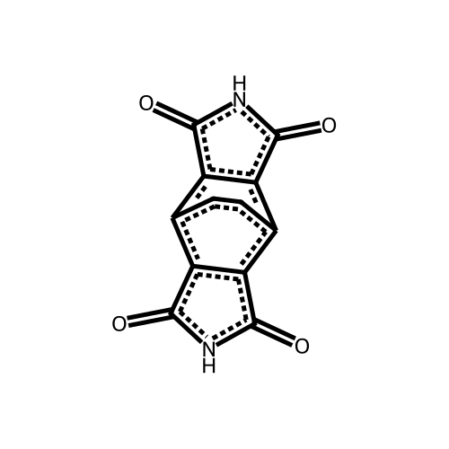 O=c1[nH]c(=O)c2c3ccc(c12)c1c(=O)[nH]c(=O)c31